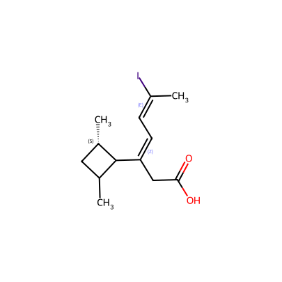 C/C(I)=C\C=C(\CC(=O)O)C1C(C)C[C@@H]1C